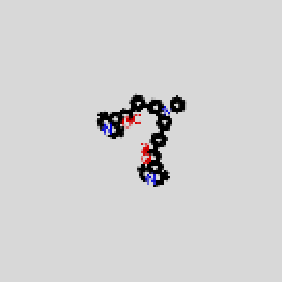 CC1(C)CCN2CCC(C)(C)c3c2c1cc1cc(-c2ccc(-c4ccc5c(c4)c4cc(-c6cccc(-c7cc8cc9c%10c(c8oc7=O)C(C)(C)CCN%10CCC9(C)C)c6)ccc4n5-c4ccccc4)cc2)c(=O)oc31